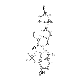 CCOC(=O)C(Cc1ccc(-c2ncc(F)cn2)cc1)c1c(SC(C)(C)C)c2cc(O)ccc2n1C